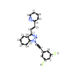 Fc1cc(F)cc(C#Cn2nc(C=Cc3ccccn3)c3ccccc32)c1